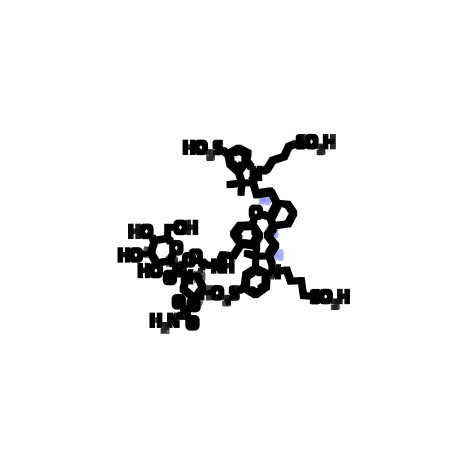 CC1(C)C(/C=C/C2=C(Oc3ccc(CCNC(=O)[C@@H]4C[C@@H](OS(N)(=O)=O)CN4S(=O)(=O)[C@@H]4OC(CO)C(O)[C@H](O)C4O)cc3)C(=C/C=C3/N(CCCCS(=O)(=O)O)c4ccc(S(=O)(=O)O)cc4C3(C)C)/CCC2)=[N+](CCCCS(=O)(=O)O)c2ccc(S(=O)(=O)O)cc21